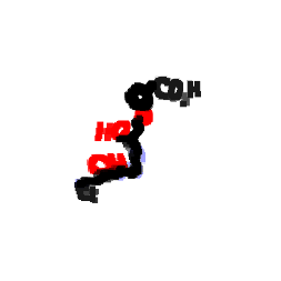 CC/C=C\C[C@H](O)/C=C/C=C\C=C\[C@@H](CO)CCOc1cccc(CC(=O)O)c1